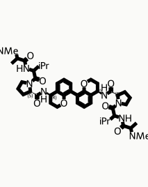 CNC(C)C(=O)NC(C(=O)N1CCC[C@H]1C(=O)N[C@@H]1CCOc2c(-c3cccc4c3OCC[C@H]4NC(=O)[C@@H]3CCCN3C(=O)C(NC(=O)C(C)NC)C(C)C)cccc21)C(C)C